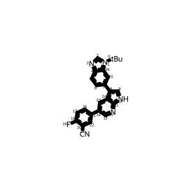 CC(C)(C)n1cnc2ccc(-c3c[nH]c4ncc(-c5ccc(F)c(C#N)c5)cc34)cc21